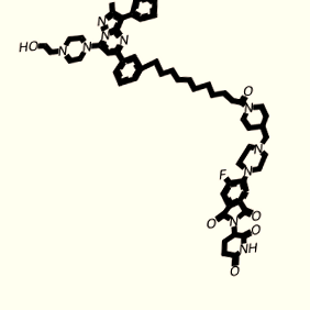 Cc1nn2c(N3CCN(CCO)CC3)cc(-c3cccc(CCCCCCCCCCC(=O)N4CCC(CN5CCN(c6cc7c(cc6F)C(=O)N(C6CCC(=O)NC6=O)C7=O)CC5)CC4)c3)nc2c1-c1ccccc1